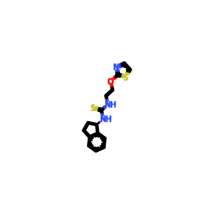 S=C(NCCOc1nccs1)N[C@H]1CCc2ccccc21